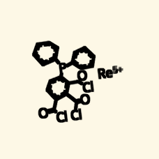 O=C(Cl)c1ccc(P(c2ccccc2)c2ccccc2)c(C(=O)Cl)c1C(=O)Cl.[Re+5]